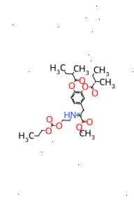 CCCOC(=O)OCCN[C@@H](Cc1ccc(OC(=O)C(C)CC)c(OC(=O)C(C)CC)c1)C(=O)OC